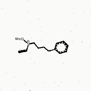 C=C[SiH](CCCCc1ccccc1)OC